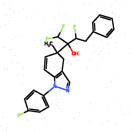 CC1(C(O)(C(F)F)C(F)Cc2ccccc2)C=Cc2c(cnn2-c2ccc(F)cc2)C1